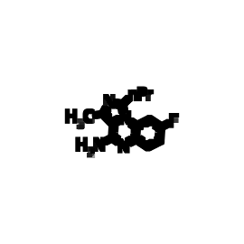 CCCc1nc(C)c2c(N)nc3ccc(F)cc3n12